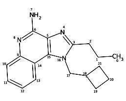 CCCc1nc2c(N)nc3ccccc3c2n1C[C]1CCC1